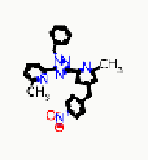 Cc1cc(Cc2ccc([N+](=O)[O-])cc2)cc(-c2nc(-c3cccc(C)n3)n(Cc3ccccc3)n2)n1